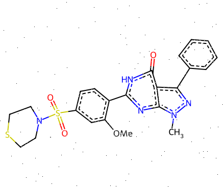 COc1cc(S(=O)(=O)N2CCSCC2)ccc1-c1nc2c(c(-c3ccccc3)nn2C)c(=O)[nH]1